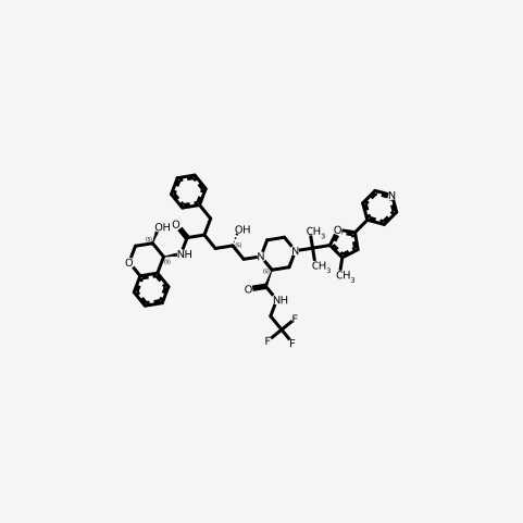 Cc1cc(-c2ccncc2)oc1C(C)(C)N1CCN(C[C@@H](O)CC(Cc2ccccc2)C(=O)N[C@H]2c3ccccc3OC[C@H]2O)[C@H](C(=O)NCC(F)(F)F)C1